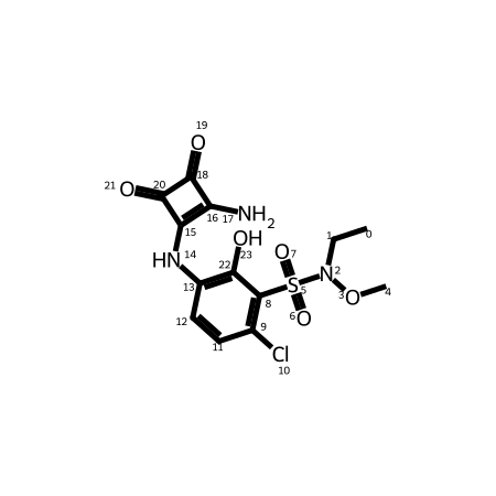 CCN(OC)S(=O)(=O)c1c(Cl)ccc(Nc2c(N)c(=O)c2=O)c1O